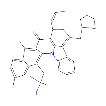 C=c1c2c(C)c3ccc(C)cc3c(CC(C)(C)I)c2n2c3ccccc3c3c(CC4CCCC4)cc(/C=C\C)c1c32